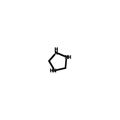 C1NCNN1